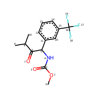 COC(=O)NC(C(=O)C(C)C)c1cccc(C(F)(F)F)c1